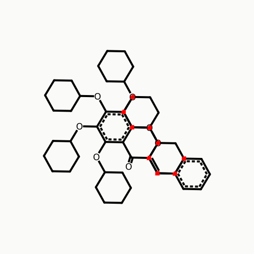 O=C(C(=Cc1ccccc1)OC1CCCCC1)c1c(OC2CCCCC2)c(OC2CCCCC2)c(OC2CCCCC2)c(OC2CCCCC2)c1OC1CCCCC1